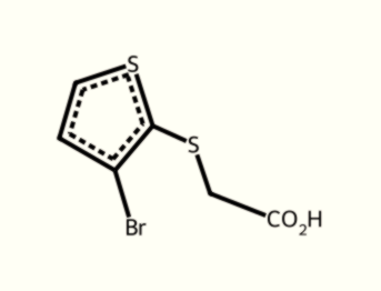 O=C(O)CSc1sccc1Br